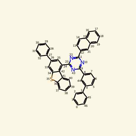 c1ccc(-c2cccc(-c3nc(-c4ccc5ccccc5c4)nc(-c4cc(-c5ccccc5)cc5sc6ccccc6c45)n3)c2)cc1